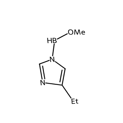 CCc1cn(BOC)cn1